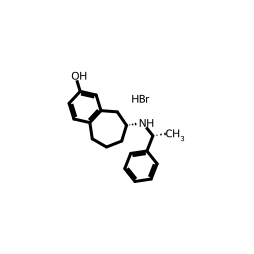 Br.C[C@@H](N[C@@H]1CCCc2ccc(O)cc2C1)c1ccccc1